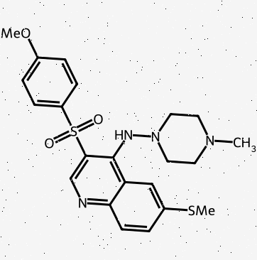 COc1ccc(S(=O)(=O)c2cnc3ccc(SC)cc3c2NN2CCN(C)CC2)cc1